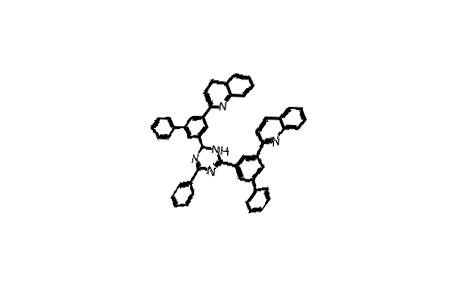 C1=CC2=NC(c3cc(-c4ccccc4)cc(C4N=C(c5ccccc5)N=C(c5cc(-c6ccccc6)cc(-c6ccc7ccccc7n6)c5)N4)c3)=CCC2C=C1